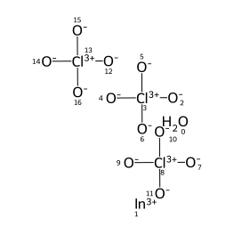 O.[In+3].[O-][Cl+3]([O-])([O-])[O-].[O-][Cl+3]([O-])([O-])[O-].[O-][Cl+3]([O-])([O-])[O-]